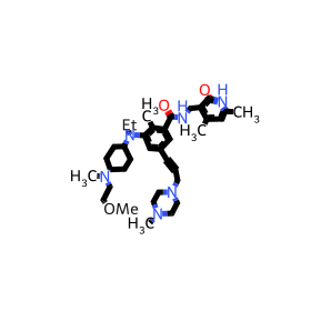 CCN(c1cc(C#CCN2CCN(C)CC2)cc(C(=O)NCc2c(C)cc(C)[nH]c2=O)c1C)C1CCC(N(C)CCOC)CC1